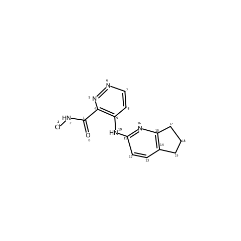 O=C(NCl)c1nnccc1Nc1ccc2c(n1)CCC2